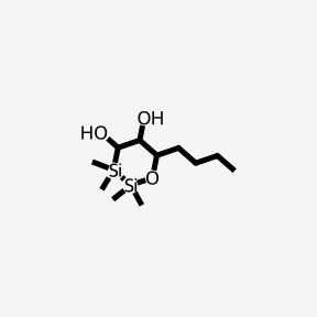 CCCCC1O[Si](C)(C)[Si](C)(C)C(O)C1O